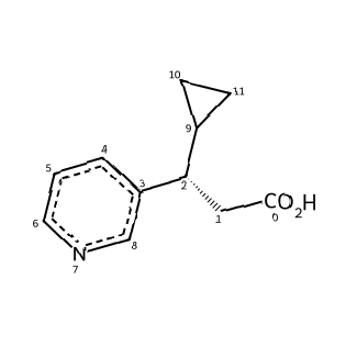 O=C(O)C[C@H](c1cccnc1)C1CC1